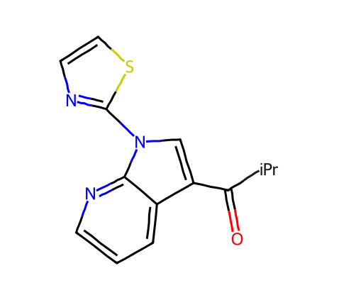 CC(C)C(=O)c1cn(-c2nccs2)c2ncccc12